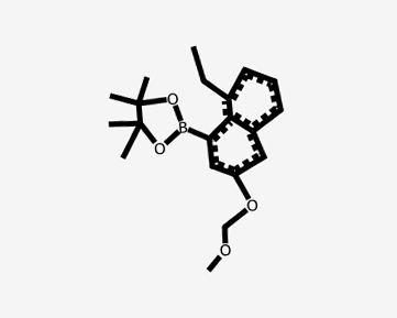 CCc1cccc2cc(OCOC)cc(B3OC(C)(C)C(C)(C)O3)c12